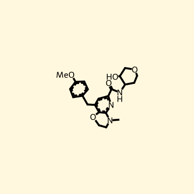 COc1ccc(Cc2cc(C(=O)NC3CCOCC3O)nc3c2OCCN3C)cc1